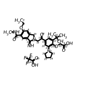 CCOc1cc2c(cc1C(=O)NC)C(=N)N(CC(=O)c1cc(N3CCCC3)c(OCC(=O)O)c(C(C)(C)C)c1)C2.O=C(O)C(F)(F)F